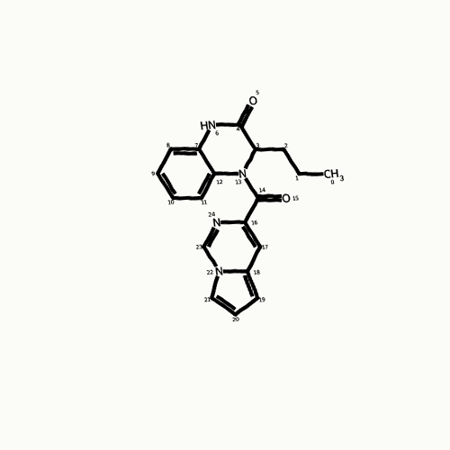 CCCC1C(=O)Nc2ccccc2N1C(=O)c1cc2cccn2cn1